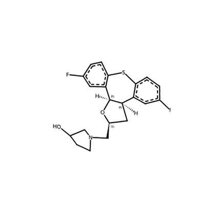 OC1CCN(C[C@@H]2C[C@@H]3c4cc(I)ccc4Sc4ccc(F)cc4[C@@H]3O2)C1